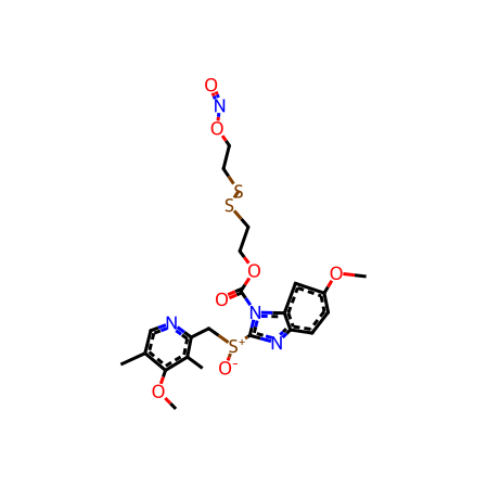 COc1ccc2nc([S+]([O-])Cc3ncc(C)c(OC)c3C)n(C(=O)OCCSSCCON=O)c2c1